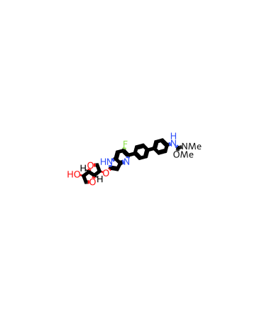 CNC(Nc1ccc(-c2ccc(-c3nc4cc(O[C@@H]5CO[C@H]6[C@@H]5OC[C@H]6O)[nH]c4cc3F)cc2)cc1)OC